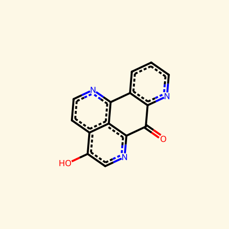 O=C1c2ncccc2-c2nccc3c(O)cnc1c23